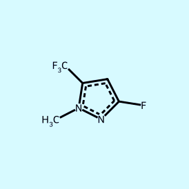 Cn1nc(F)cc1C(F)(F)F